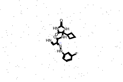 N=C/C(=N\Nc1cccc(F)c1)C(=O)NC1(C2CCC2)NC(=O)NC1=O